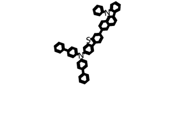 c1ccc(-c2ccc(N(c3ccc(-c4ccccc4)cc3)c3ccc4c(c3)sc3cc(-c5ccc6c(ccc7c8ccccc8n(-c8ccccc8)c67)c5)ccc34)cc2)cc1